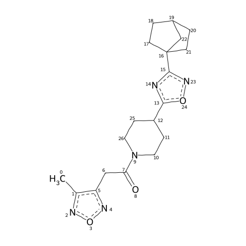 Cc1nonc1CC(=O)N1CCC(c2nc(C34CCC(CC3)C4)no2)CC1